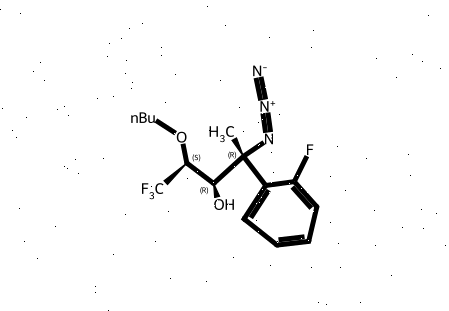 CCCCO[C@@H]([C@H](O)[C@](C)(N=[N+]=[N-])c1ccccc1F)C(F)(F)F